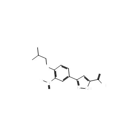 CC(C)COc1ccc(-c2cc(C(=O)O)[nH]n2)cc1[N+](=O)[O-]